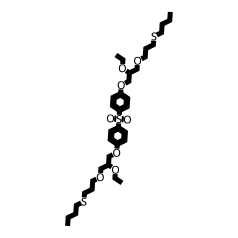 CCCCSCCCOCC(COc1ccc(S(=O)(=O)c2ccc(OCC(COCCCSCCCC)OCC)cc2)cc1)OCC